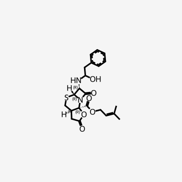 CC(C)=CCOC(=O)[C@]12OC(=O)C[C@H]1CS[C@@H]1[C@H](NC(O)Cc3ccccc3)C(=O)N12